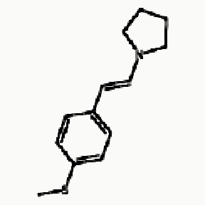 CSc1ccc(C=CN2CCCC2)cc1